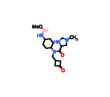 COBNC1CCC(N(CC2CC(=O)C2)C(=O)C2CN(C)CN2)CC1